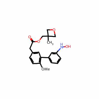 COc1ccc(CC(=O)OCC2(C)COC2)cc1-c1cccc(NO)c1